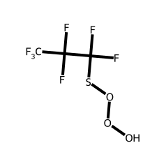 OOOSC(F)(F)C(F)(F)C(F)(F)F